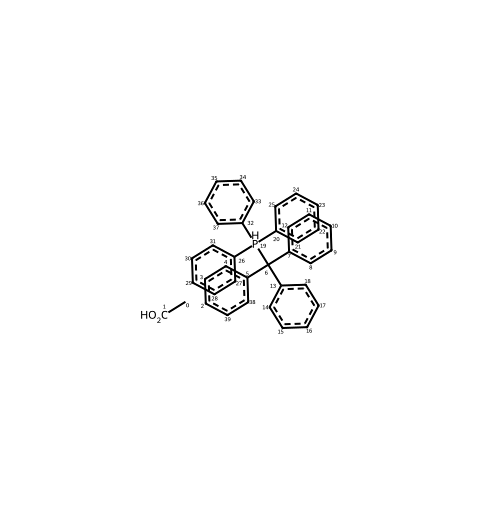 CC(=O)O.c1ccc(C(c2ccccc2)(c2ccccc2)[PH](c2ccccc2)(c2ccccc2)c2ccccc2)cc1